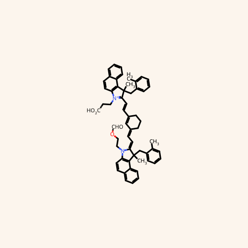 Cc1ccccc1CC1(C)C(/C=C/C2=CC(=C/C=C3\N(CCOC=O)c4ccc5ccccc5c4C3(C)Cc3ccccc3C)/CCC2)=[N+](CCC(=O)O)c2ccc3ccccc3c21